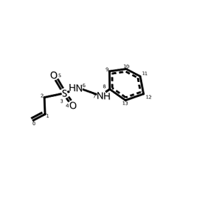 C=CCS(=O)(=O)NNc1ccccc1